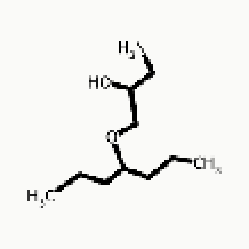 CCCC(CCC)OCC(O)CN